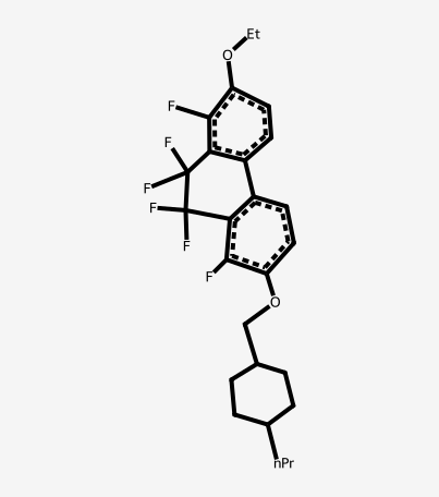 CCCC1CCC(COc2ccc3c(c2F)C(F)(F)C(F)(F)c2c-3ccc(OCC)c2F)CC1